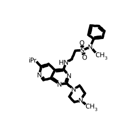 CC(C)c1cc2c(NCCS(=O)(=O)N(C)c3ccccc3)nc(N3CCN(C)CC3)nc2cn1